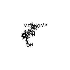 COc1nc(NC(=O)NS(=O)(=O)c2c(I)cccc2CCCCO)nc(OC)n1